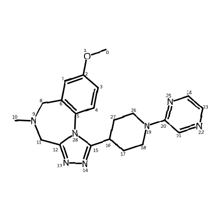 COc1ccc2c(c1)CN(C)Cc1nnc(C3CCN(c4cnccn4)CC3)n1-2